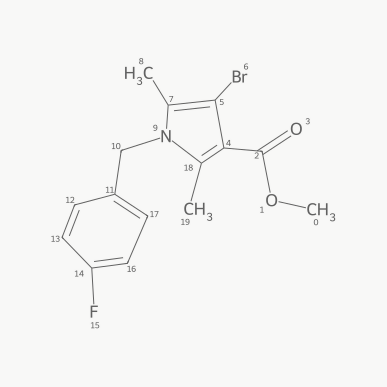 COC(=O)c1c(Br)c(C)n(Cc2ccc(F)cc2)c1C